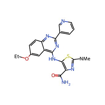 CCOc1ccc2nc(-c3cccnc3)nc(Nc3sc(NC)nc3C(N)=O)c2c1